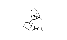 CN1CC2CCC(C3CCC4CCC3N4C)(C1)O2